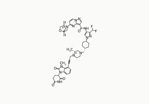 C[C@@H]1CN(C[C@H]2CC[C@H](n3cc(NC(=O)c4cnn5ccc(N6C[C@H]7C[C@@H]6CO7)nc45)c(C(F)F)n3)CC2)CCN1CC#Cc1cccc2c1n(C)c(=O)n2C1CCC(=O)NC1=O